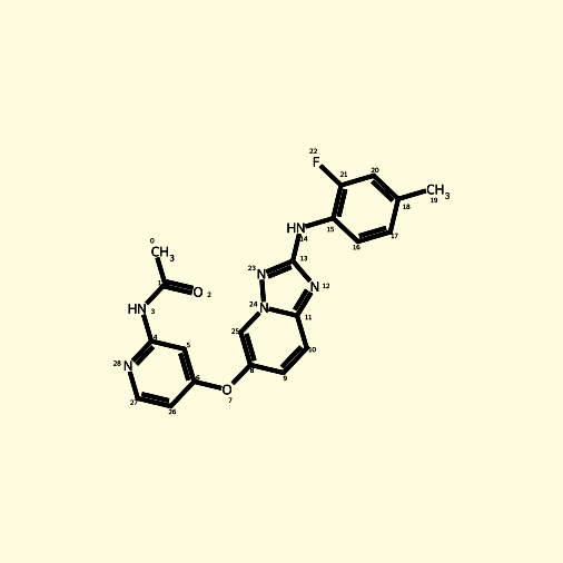 CC(=O)Nc1cc(Oc2ccc3nc(Nc4ccc(C)cc4F)nn3c2)ccn1